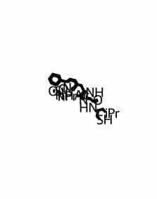 CCCc1nc(C(=O)NC(CS)CC(C)C)[nH]c1Cc1ccc(-c2ccccc2S(=O)(=O)NC(C)=O)nc1